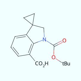 CC(C)(C)OC(=O)N1CC2(CC2)c2cccc(C(=O)O)c21